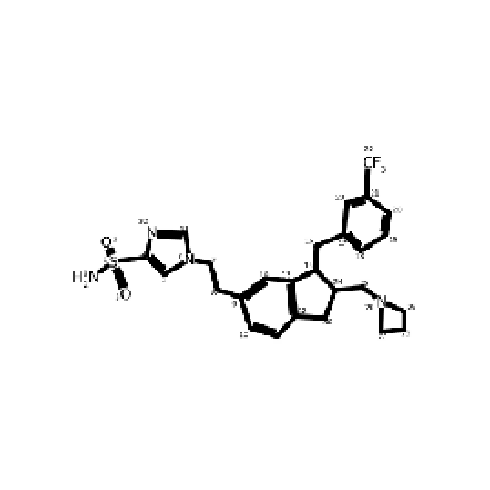 NS(=O)(=O)c1cn(CCc2ccc3c(c2)C(Cc2cccc(C(F)(F)F)c2)C(CN2CCC2)C3)cn1